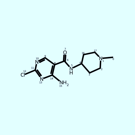 CN1CCC(NC(=O)c2cnc(Cl)nc2N)CC1